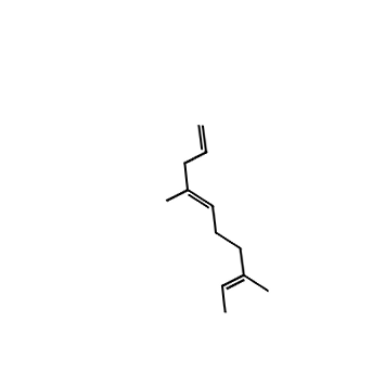 C=CCC(C)=CCCC(C)=CC